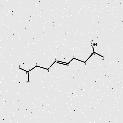 CC(C)CCC=CCCC(C)O